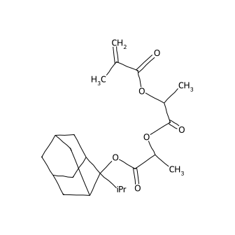 C=C(C)C(=O)OC(C)C(=O)OC(C)C(=O)OC1(C(C)C)C2CC3CC(C2)CC1C3